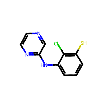 Sc1cccc(Nc2cnccn2)c1Cl